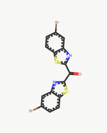 O=C(c1nc2cc(Br)ccc2s1)c1nc2cc(Br)ccc2s1